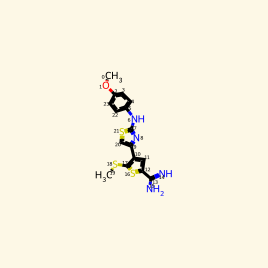 COc1ccc(Nc2nc(-c3cc(C(=N)N)sc3SC)cs2)cc1